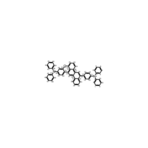 c1ccc(N(c2ccccc2)c2ccc(-c3cc4c5cccc6c5c(cc4c4ccccc34)-c3ccc(N(c4ccccc4)c4ccccc4)cc3O6)cc2)cc1